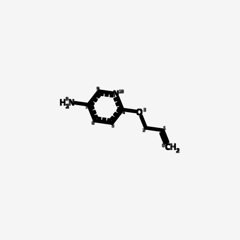 C=CCOc1ccc(N)cn1